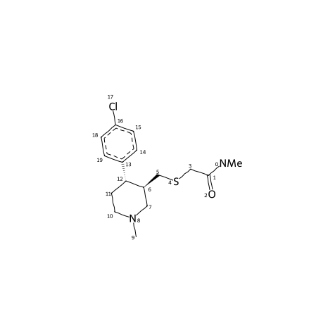 CNC(=O)CSC[C@H]1CN(C)CC[C@@H]1c1ccc(Cl)cc1